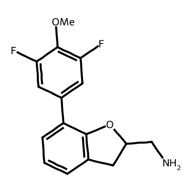 COc1c(F)cc(-c2cccc3c2OC(CN)C3)cc1F